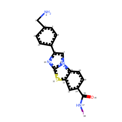 NCc1ccc(-c2cn3c(n2)sc2cc(C(=O)NI)ccc23)cc1